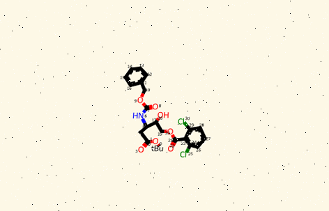 CC(C)(C)OC(=O)CC(NC(=O)OCc1ccccc1)C(O)COC(=O)c1c(Cl)cccc1Cl